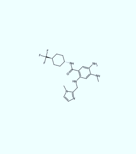 CNc1cc(NCc2nccn2C)c(C(=O)N[C@H]2CC[C@H](C(F)(F)F)CC2)cc1N